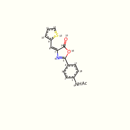 CC(=O)Nc1ccc(C2=NC(=Cc3cccs3)C(=O)O2)cc1